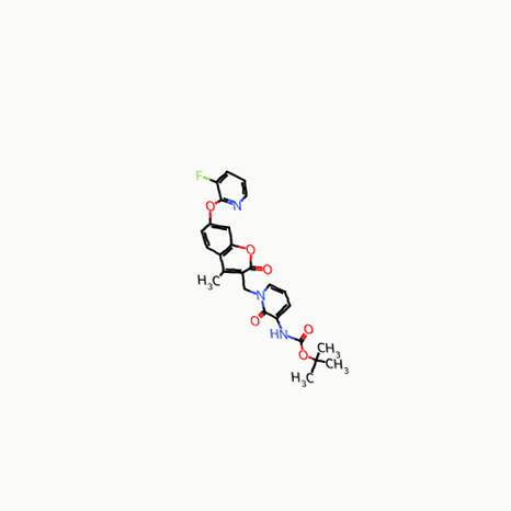 Cc1c(Cn2cccc(NC(=O)OC(C)(C)C)c2=O)c(=O)oc2cc(Oc3ncccc3F)ccc12